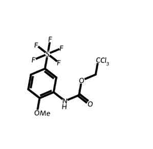 COc1ccc(S(F)(F)(F)(F)F)cc1NC(=O)OCC(Cl)(Cl)Cl